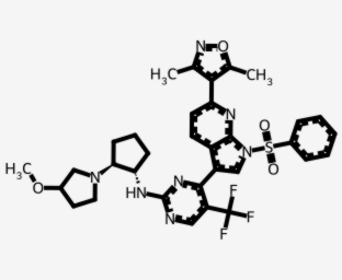 COC1CCN([C@H]2CCC[C@@H]2Nc2ncc(C(F)(F)F)c(-c3cn(S(=O)(=O)c4ccccc4)c4nc(-c5c(C)noc5C)ccc34)n2)C1